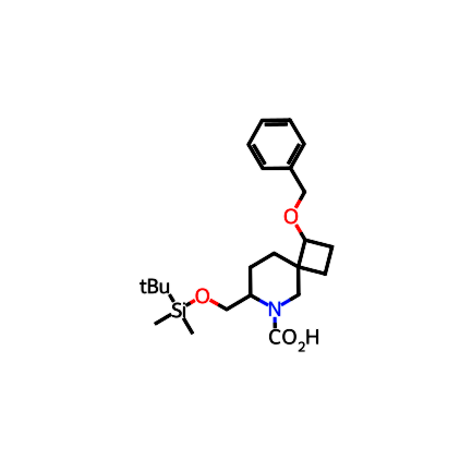 CC(C)(C)[Si](C)(C)OCC1CCC2(CCC2OCc2ccccc2)CN1C(=O)O